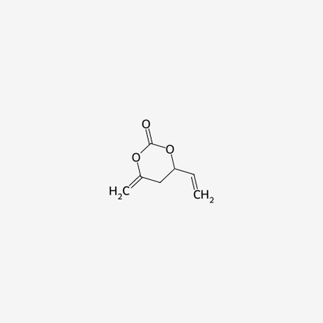 C=CC1CC(=C)OC(=O)O1